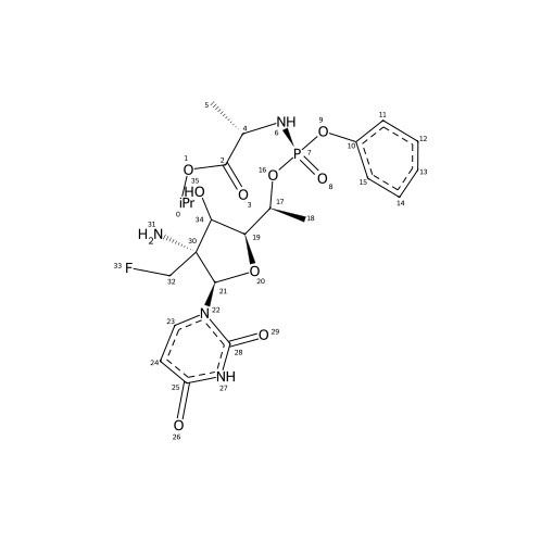 CC(C)OC(=O)[C@H](C)N[P@](=O)(Oc1ccccc1)O[C@@H](C)[C@H]1O[C@@H](n2ccc(=O)[nH]c2=O)[C@@](N)(CF)C1O